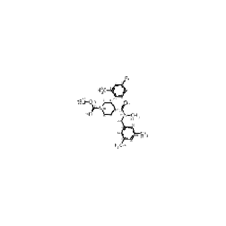 Cc1cc(F)ccc1[C@H]1CN(C(=O)OC(C)(C)C)CC[C@H]1C(=O)N(C)Cc1cc(C(F)(F)F)cc(C(F)(F)F)c1